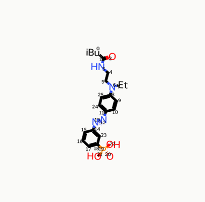 CCC(C)C(=O)NCCN(CC)c1ccc(/N=N/c2cccc(P(=O)(O)O)c2)cc1